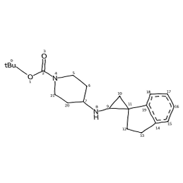 CC(C)(C)OC(=O)N1CCC(NC2CC23CCc2ccccc23)CC1